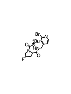 CC(C)(C)OC(=O)N1CC(F)CC1C(=O)NCc1ccnc(Br)c1